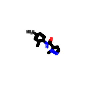 Cc1cc(C(=O)O)ccc1NC(=O)c1ccnn1C